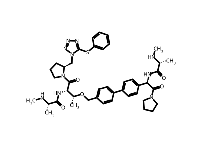 CN[C@@H](C)C(=O)N[C@H](C(=O)N1CCC[C@H]1Cn1nnnc1Sc1ccccc1)[C@@H](C)OCc1ccc(-c2ccc([C@@H](NC(=O)[C@@H](C)NC)C(=O)N3CCCC3)cc2)cc1